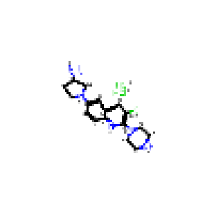 Cl.Cl.N[C@@H]1CCN(c2ccc3nc(N4CCNCC4)c(Cl)cc3c2)C1